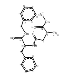 CN(CC(=O)N[C@@H](Cc1ccccc1)C(=O)OCc1ccccc1)C(=O)OC(C)(C)C